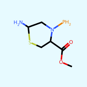 COC(=O)C1CSC(N)CN1P